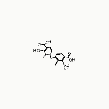 Cc1c(Cc2ccc(C(=O)O)c(O)c2C)ccc(C(=O)O)c1O